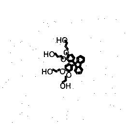 OCCCOc1ccc(C2(c3ccc(OCCCO)c(OCCCO)c3)c3ccccc3-c3ccccc32)cc1OCCCO